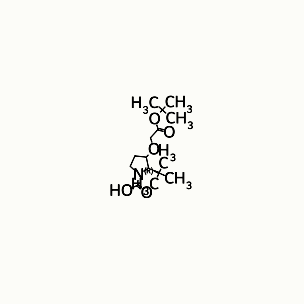 CC(C)(C)OC(=O)COC1CCN(C(=O)O)[C@@H]1C(C)(C)C